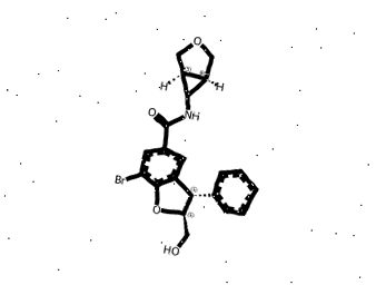 O=C(NC1[C@H]2COC[C@@H]12)c1cc(Br)c2c(c1)[C@H](c1ccccc1)[C@@H](CO)O2